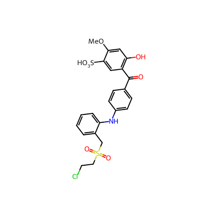 COc1cc(O)c(C(=O)c2ccc(Nc3ccccc3CS(=O)(=O)CCCl)cc2)cc1S(=O)(=O)O